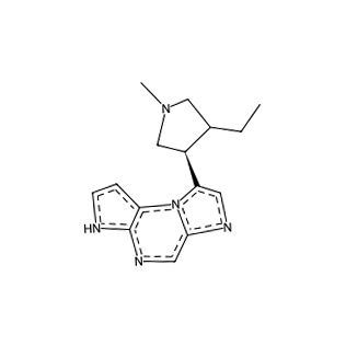 CCC1CN(C)C[C@@H]1c1cnc2cnc3[nH]ccc3n12